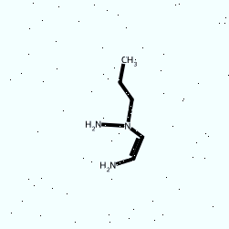 CCCN(N)/C=C\N